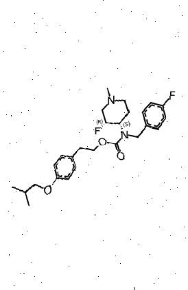 CC(C)COc1ccc(CCOC(=O)N(Cc2ccc(F)cc2)[C@H]2CCN(C)C[C@H]2F)cc1